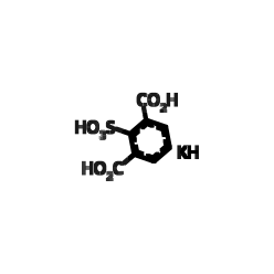 O=C(O)c1cccc(C(=O)O)c1S(=O)(=O)O.[KH]